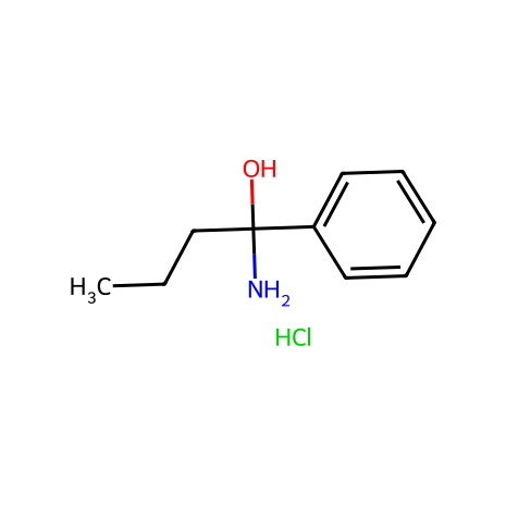 CCCC(N)(O)c1ccccc1.Cl